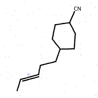 C/C=C/CCC1CCC(C#N)CC1